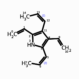 C=Cc1[nH]c(/C=C\C)c(C=C)c1/C=C\C